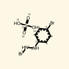 BrNNc1ccc(Br)cc1.O=S(=O)(O)O